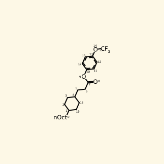 CCCCCCCCC1CCC(CCC(=O)Oc2ccc(OC(F)(F)F)cc2)CC1